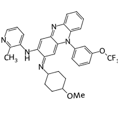 COC1CCC(/N=c2\cc3n(-c4cccc(OC(F)(F)F)c4)c4ccccc4nc-3cc2Nc2cccnc2C)CC1